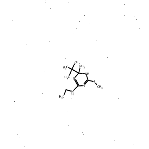 CCNC1=NC(N)(C(C)(C)C)NC(SC)=N1